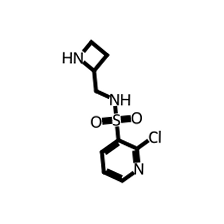 O=S(=O)(NCC1CCN1)c1cccnc1Cl